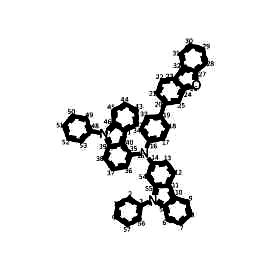 c1ccc(-n2c3ccccc3c3ccc(N(c4ccc(-c5ccc6c(c5)oc5ccccc56)cc4)c4cccc5c4c4ccccc4n5-c4ccccc4)cc32)cc1